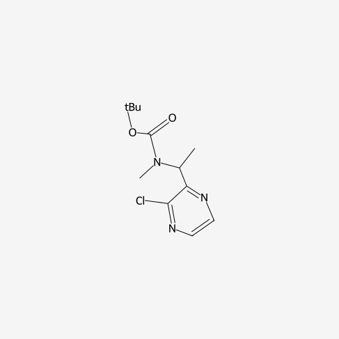 CC(c1nccnc1Cl)N(C)C(=O)OC(C)(C)C